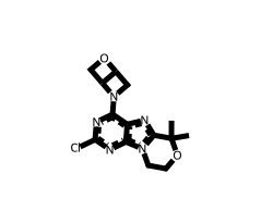 CC1(C)OCCn2c1nc1c(N3CC4OCC43)nc(Cl)nc12